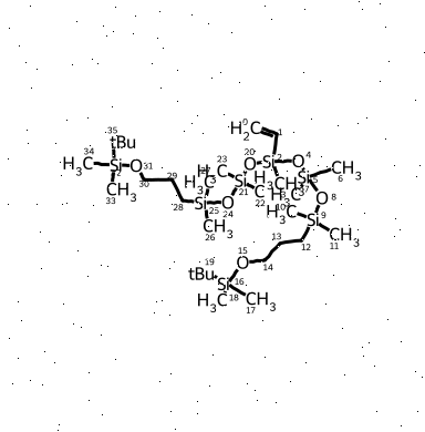 C=C[Si](C)(O[Si](C)(C)O[Si](C)(C)CCCO[Si](C)(C)C(C)(C)C)O[Si](C)(C)O[Si](C)(C)CCCO[Si](C)(C)C(C)(C)C